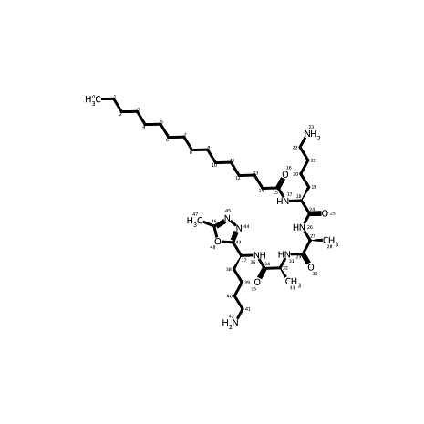 CCCCCCCCCCCCCCCC(=O)N[C@@H](CCCCN)C(=O)N[C@@H](C)C(=O)N[C@@H](C)C(=O)N[C@@H](CCCCN)c1nnc(C)o1